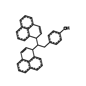 Oc1ccc(CC(C2C=Cc3cccc4cccc2c34)C2C=Cc3cccc4cccc2c34)cc1